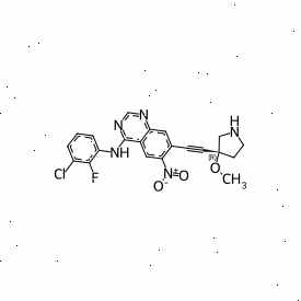 CO[C@@]1(C#Cc2cc3ncnc(Nc4cccc(Cl)c4F)c3cc2[N+](=O)[O-])CCNC1